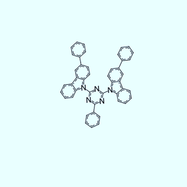 c1ccc(-c2ccc3c(c2)c2ccccc2n3-c2nc(-c3ccccc3)nc(-n3c4ccccc4c4cc(-c5ccccc5)ccc43)n2)cc1